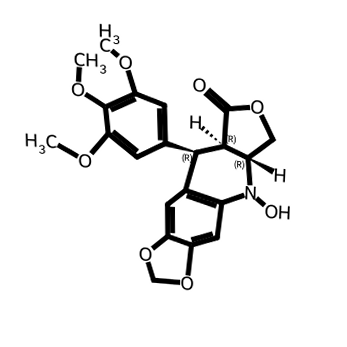 COc1cc([C@@H]2c3cc4c(cc3N(O)[C@H]3COC(=O)[C@H]23)OCO4)cc(OC)c1OC